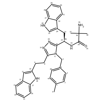 Cc1ccc(Cn2c(CCc3cc4ccccc4[nH]3)nnc2[C@@H](Cc2c[nH]c3ccccc23)NC(=O)C(C)(C)N)cc1